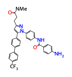 CNC(=O)CCc1cc(-c2ccc(-c3ccc(C(F)(F)F)cc3)cc2)n(-c2ccc(NC(=O)c3ccc(N)cc3)cc2)n1